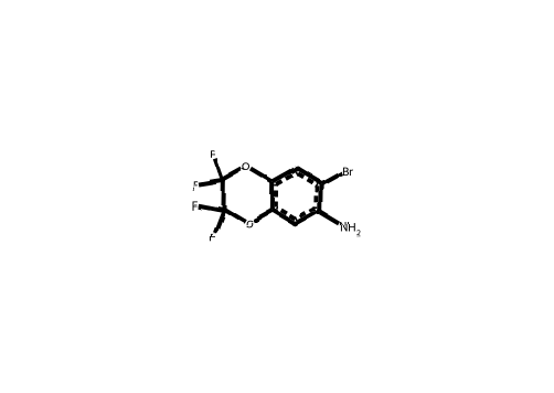 Nc1cc2c(cc1Br)OC(F)(F)C(F)(F)O2